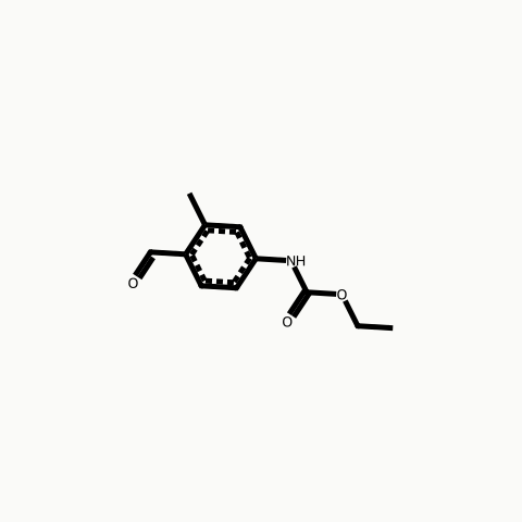 CCOC(=O)Nc1ccc(C=O)c(C)c1